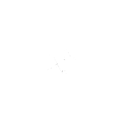 CC=O.CCCC(N)(O)CC